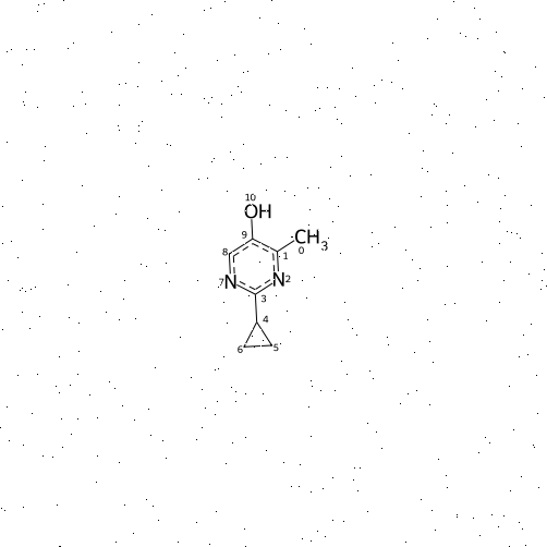 Cc1nc(C2CC2)ncc1O